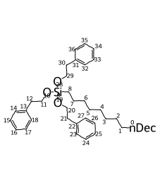 CCCCCCCCCCCCCCCCCC[Si](OCCc1ccccc1)(OCCc1ccccc1)OCCc1ccccc1